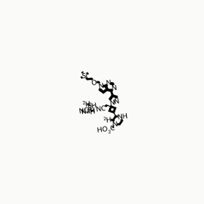 [2H]C1C([C@H]2C[C@](CC#N)(n3cc(-c4ncnc5c4ccn5COCC[Si](C)(C)C)cn3)C2)NCCN1C(=O)O.[2H][B-]([2H])([2H])C#N.[NaH]